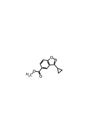 COC(=O)c1ccc2onc(C3CC3)c2c1